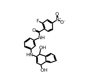 O=C(Nc1cccc(NC2=CC(O)c3ccccc3C2O)c1)c1ccc([N+](=O)[O-])cc1F